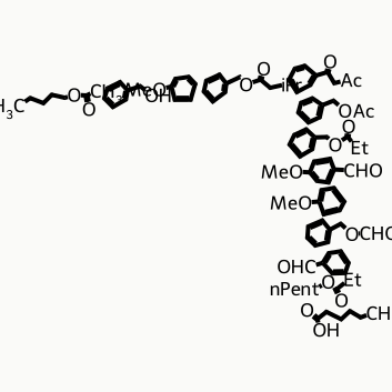 CC(=O)CC(=O)c1ccccc1.CC(=O)OCc1ccccc1.CC(C)CC(=O)OCc1ccccc1.CCC(=O)OCc1ccccc1.CCCCCC(=O)O.CCCCCOC(=O)CC.CCCCCOC(C)=O.COc1ccc(C=O)cc1.COc1ccccc1.COc1ccccc1.O=COCc1ccccc1.O=Cc1ccccc1.OCc1ccccc1